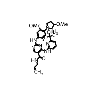 C=CCNC(=O)c1cnc(Nc2ccc(N3CCC(OC)C3)c(OC)c2)nc1Nc1cccc(C(C)(C)O)n1